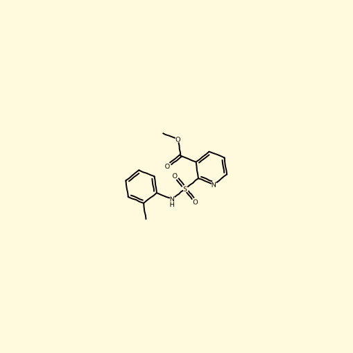 COC(=O)c1cccnc1S(=O)(=O)Nc1ccccc1C